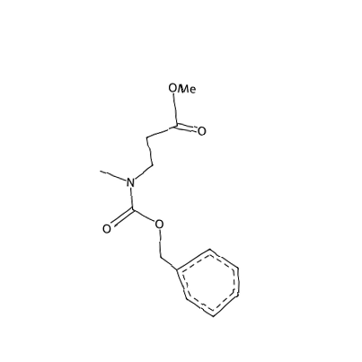 COC(=O)CCN(C)C(=O)OCc1ccccc1